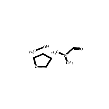 C1CCOC1.CN(C)C=O.CO